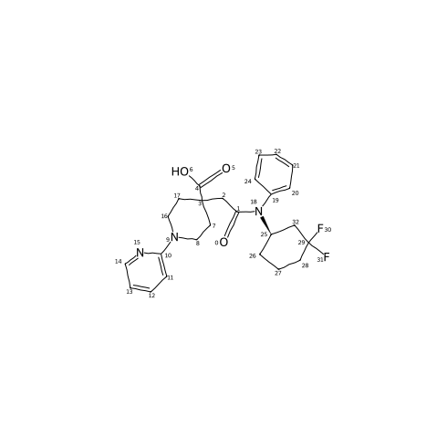 O=C(CC1(C(=O)O)CCN(c2ccccn2)CC1)N(c1ccccc1)[C@@H]1CCCC(F)(F)C1